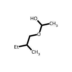 CCC(C)COC(C)O